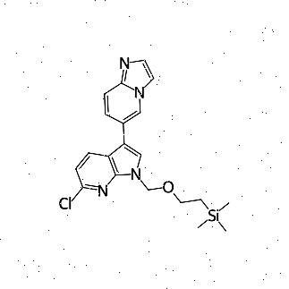 C[Si](C)(C)CCOCn1cc(-c2ccc3nccn3c2)c2ccc(Cl)nc21